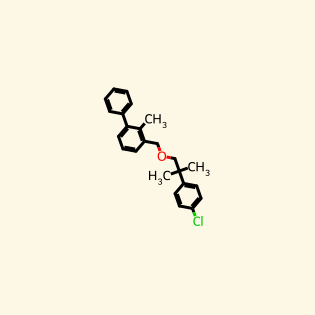 Cc1c(COCC(C)(C)c2ccc(Cl)cc2)cccc1-c1ccccc1